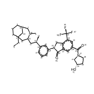 CCC12CCCN(CN(C)C(C[C@@H](C)c3cccc(N4Cc5c(cc(C(=O)N6CC[C@H](O)C6)cc5C(F)(F)F)C4=O)c3)C1)C2